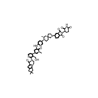 C[C@H]1C[C@]2(CCN(c3ccc4c(c3)C(=O)N(C3CCC(=O)NC3=O)C4=O)C2)CCN1c1ccc(Nc2cc(-c3ccnc(N4CCn5c(cc6c5CC(C)(C)C6)C4=O)c3CO)cn(C)c2=O)nc1